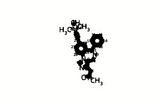 CC(=O)Cc1ncn2c1CN=C(c1ccccc1)c1cc(C#C[Si](C)(C)C)ccc1-2